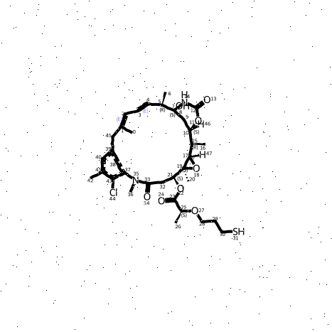 C/C1=C\C=C\[C@@H](C)[C@@]2(O)C[C@H](OC(=O)N2)[C@@H](C)[C@@H]2O[C@@]2(C)[C@@H](OC(=O)[C@H](C)OCCCS)CC(=O)N(C)c2cc(cc(C)c2Cl)C1